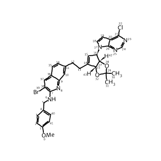 COc1ccc(CNc2nc3cc(CCC4=C[C@@H](n5ccc6c(Cl)ncnc65)[C@@H]5OC(C)(C)O[C@H]45)ccc3cc2Br)cc1